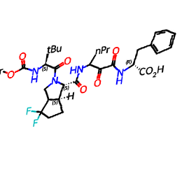 CCCC(NC(=O)[C@@H]1[C@H]2CCC(F)(F)C2CN1C(=O)[C@@H](NC(=O)OC(C)C)C(C)(C)C)C(=O)C(=O)N[C@H](Cc1ccccc1)C(=O)O